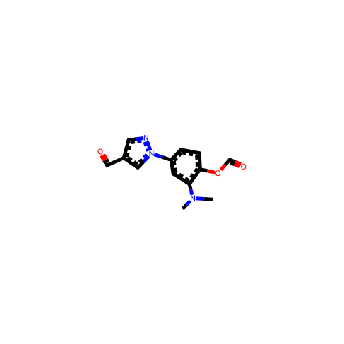 CN(C)c1cc(-n2cc(C=O)cn2)ccc1OC=O